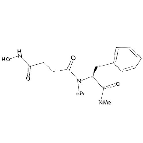 CCCN(C(=O)CCC(=O)NO)[C@@H](Cc1ccccc1)C(=O)NC